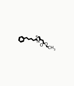 CCOC(=O)Cc1csc(CCCCc2ccccc2)n1